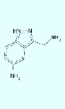 NCc1n[nH]c2ccc(N)cc12